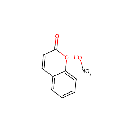 O=[N+]([O-])O.O=c1ccc2ccccc2o1